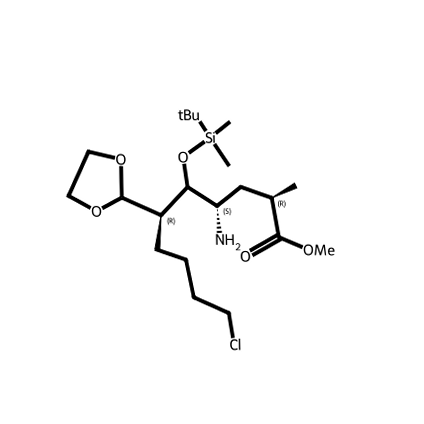 COC(=O)[C@H](C)C[C@H](N)C(O[Si](C)(C)C(C)(C)C)[C@@H](CCCCCl)C1OCCO1